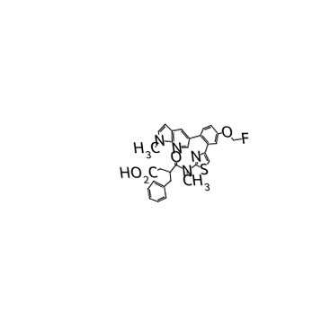 CN(C(=O)C(CC(=O)O)Cc1ccccc1)c1nc(-c2cc(OCF)ccc2-c2cnc3c(ccn3C)c2)cs1